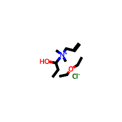 C=CC[N+](C)(C)C(O)CC.CCOCC.[Cl-]